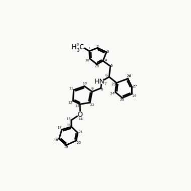 Cc1ccc(CC(NCc2cccc(OCc3ccccc3)c2)c2ccccc2)cc1